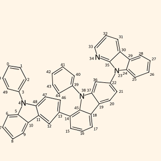 c1ccc(-n2c3ccccc3c3cc(-c4cccc5c6ccc(-n7c8ccccc8c8cccnc87)cc6n(-c6ccccc6)c45)ccc32)cc1